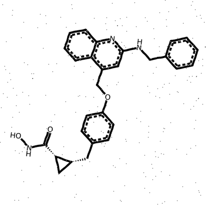 O=C(NO)[C@H]1C[C@H]1Cc1ccc(OCc2cc(NCc3ccccc3)nc3ccccc23)cc1